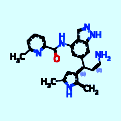 C=c1[nH]c(C)c/c1=C(/C=C\N)c1cc(NC(=O)c2cccc(C)n2)c2cn[nH]c2c1